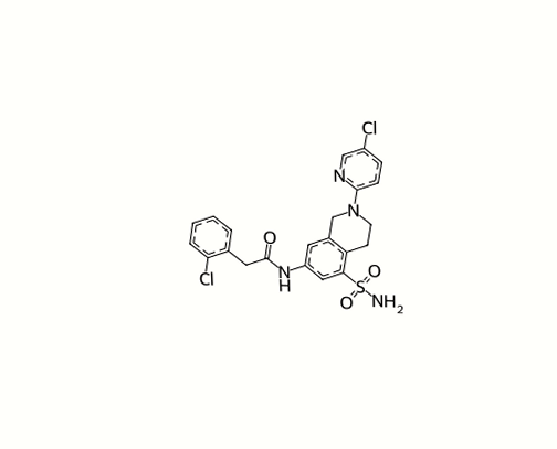 NS(=O)(=O)c1cc(NC(=O)Cc2ccccc2Cl)cc2c1CCN(c1ccc(Cl)cn1)C2